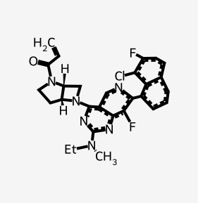 C=CC(=O)N1CC[C@@H]2[C@H]1CN2c1nc(N(C)CC)nc2c(F)c(-c3cccc4ccc(F)c(Cl)c34)ncc12